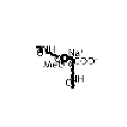 C=CC(=O)NCCCCOc1ccc(CC(OCCCCNC(=O)C=C)C(=O)[O-])cc1OC.[Na+]